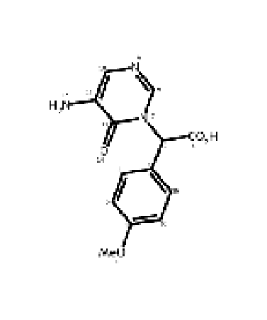 COc1ccc(C(C(=O)O)n2cncc(N)c2=O)cc1